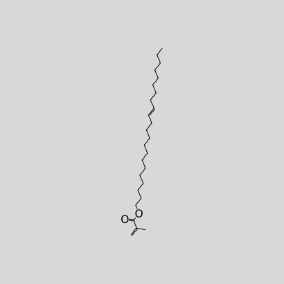 C=C(C)C(=O)OCCCCCCCCCCCCC=CCCCCCCCC